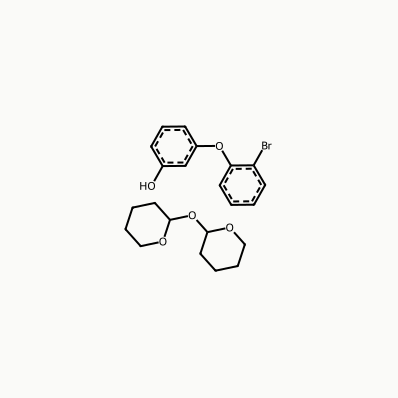 C1CCC(OC2CCCCO2)OC1.Oc1cccc(Oc2ccccc2Br)c1